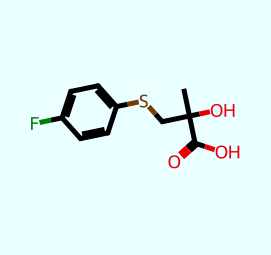 CC(O)(CSc1ccc(F)cc1)C(=O)O